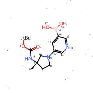 CC(C)(C)OC(=O)N[C@@]1(C)CCN(c2cncc(B(O)O)c2)C1